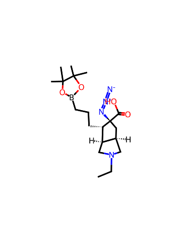 CCN1C[C@@H]2C[C@@](N=[N+]=[N-])(C(=O)O)[C@@H](CCCB3OC(C)(C)C(C)(C)O3)[C@@H]2C1